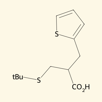 CC(C)(C)SCC(Cc1cccs1)C(=O)O